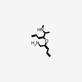 C=C/C=C(\CN)O/C(=C/C=C)C(C)NC